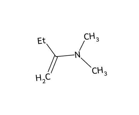 C=C(CC)N(C)C